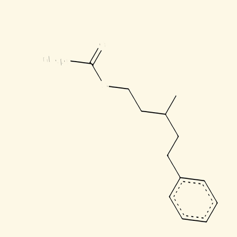 CCCCCCCC(=O)OCCC(C)CCc1ccccc1